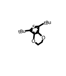 CC(C)(C)c1sc(C(C)(C)C)c2c1OCCO2